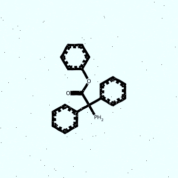 O=C(Oc1ccccc1)C(P)(c1ccccc1)c1ccccc1